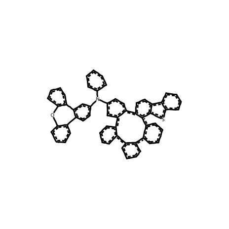 c1ccc(N(c2ccc3c(c2)-c2ccccc2Oc2ccccc2-3)c2ccc3c(c2)c2ccccc2c2ccccc2c2ccccc2c2c3ccc3c4ccccc4sc32)cc1